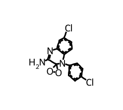 NC1=Nc2cc(Cl)ccc2N(c2ccc(Cl)cc2)C12OO2